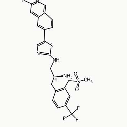 CS(=O)(=O)Cc1cc(C(F)(F)F)ccc1C[C@H](N)CNc1ncc(-c2ccc3cnc(F)cc3c2)s1